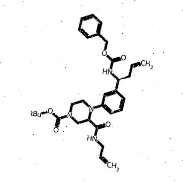 C=CCNC(=O)C1CN(C(=O)OC(C)(C)C)CCN1c1cccc([C@H](CC=C)NC(=O)OCc2ccccc2)c1